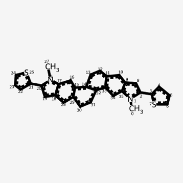 Cn1c(-c2cccs2)cc2cc3ccc4c5cc6c(cc(-c7cccs7)n6C)cc5ccc4c3cc21